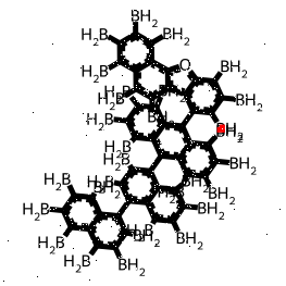 Bc1c(B)c(-c2c3c(B)c(B)c(B)c(B)c3c(-c3c(B)c(B)c(-c4c(B)c(B)c(B)c5c(B)c(B)c(B)c(B)c45)c4c(B)c(B)c(B)c(B)c34)c3c(B)c(B)c(B)c(B)c23)c2c(oc3c4c(B)c(B)c(B)c(B)c4c(B)c(B)c32)c1B